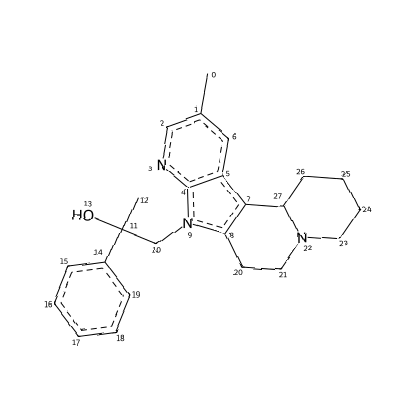 Cc1cnc2c(c1)c1c(n2CC(C)(O)c2ccccc2)CCN2CCCCC12